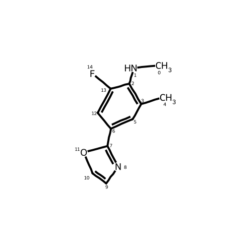 CNc1c(C)cc(-c2ncco2)cc1F